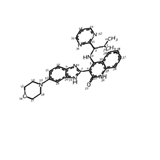 CC(C)C(Nc1c(-c2nc3ccc(N4CCOCC4)cc3[nH]2)c(=O)[nH]c2ccccc12)c1ncccn1